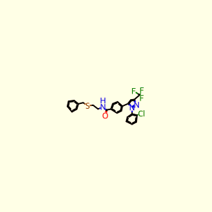 O=C(NCCSCc1ccccc1)c1ccc(-c2cc(C(F)(F)F)nn2-c2ccccc2Cl)cc1